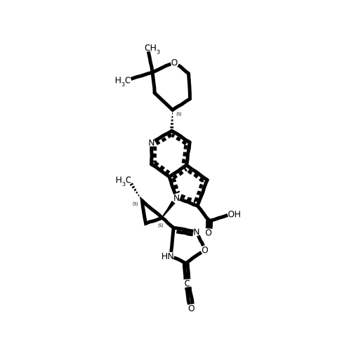 C[C@H]1C[C@]1(C1=NOC(=C=O)N1)n1c(C(=O)O)cc2cc([C@H]3CCOC(C)(C)C3)ncc21